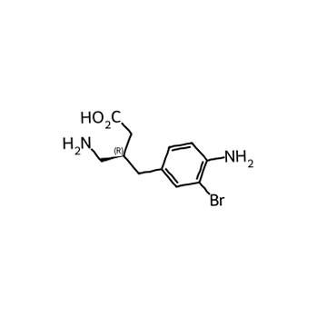 NC[C@@H](CC(=O)O)Cc1ccc(N)c(Br)c1